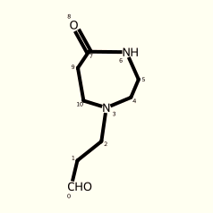 O=CCCN1CCNC(=O)CC1